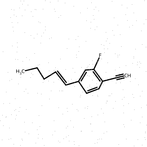 C#Cc1ccc(/C=C/CCC)cc1F